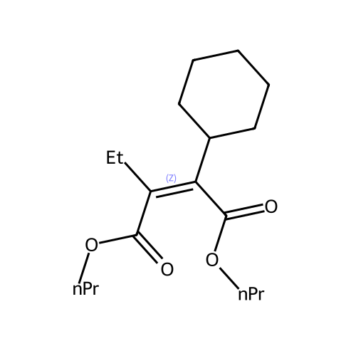 CCCOC(=O)/C(CC)=C(\C(=O)OCCC)C1CCCCC1